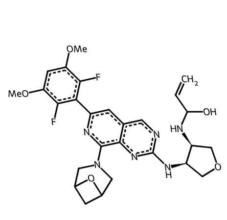 C=CC(O)N[C@H]1COC[C@H]1Nc1ncc2cc(-c3c(F)c(OC)cc(OC)c3F)nc(N3CC4CC(C3)O4)c2n1